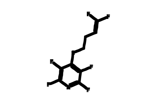 FC(F)=CCCSc1c(F)c(F)nc(F)c1F